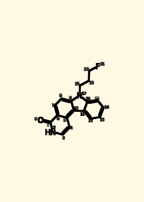 O=c1[nH]ccc2c1ccc1c2c2ccccc2n1CCCF